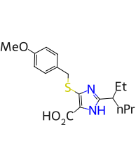 CCCC(CC)c1nc(SCc2ccc(OC)cc2)c(C(=O)O)[nH]1